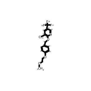 COCCOc1ccc([CH]Oc2ncc(C(F)(F)F)cc2Cl)cc1